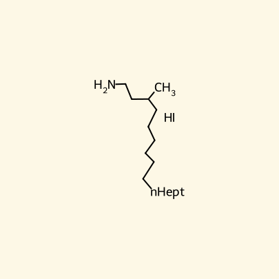 CCCCCCCCCCCCCC(C)CCN.I